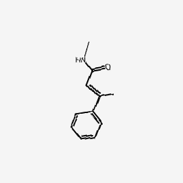 CNC(=O)C=C(C)c1ccccc1